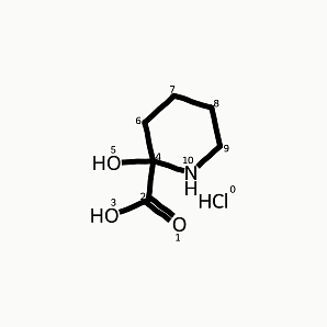 Cl.O=C(O)C1(O)CCCCN1